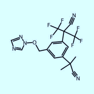 CC(C)(C#N)c1cc(COn2cncn2)cc(C(C#N)(C(F)(F)F)C(F)(F)F)c1